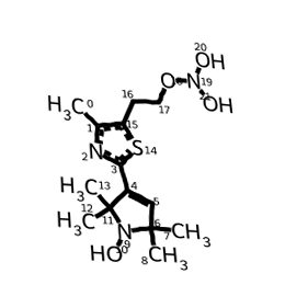 Cc1nc(C2=CC(C)(C)N(O)C2(C)C)sc1CCON(O)O